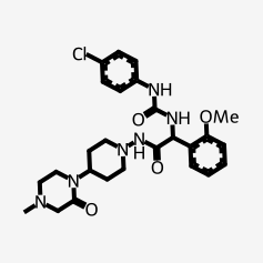 COc1ccccc1C(NC(=O)Nc1ccc(Cl)cc1)C(=O)NN1CCC(N2CCN(C)CC2=O)CC1